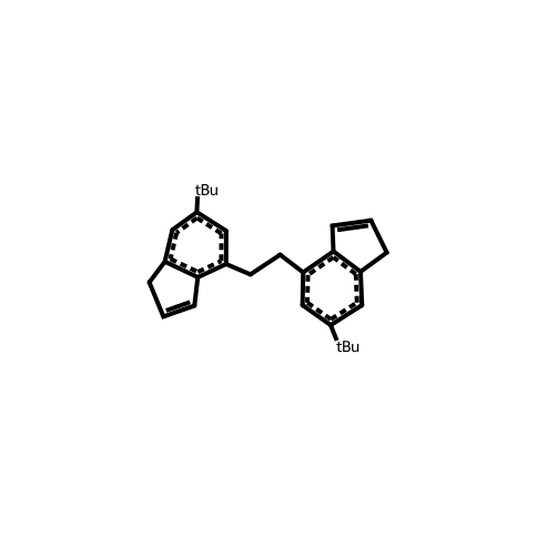 CC(C)(C)c1cc2c(c(CCc3cc(C(C)(C)C)cc4c3C=CC4)c1)C=CC2